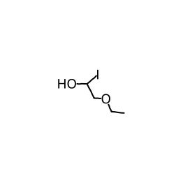 CCOCC(O)I